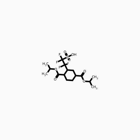 CC(C)OC(=O)C1CCC(C(=O)OC(C)C)C(C(F)(F)C(F)(F)S(=O)(=O)O)C1